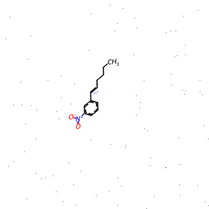 CCCC/C=C/c1cccc([N+](=O)[O-])c1